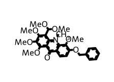 COc1c(OC)c(C(OC)OC)c2c(c1OC)c(=O)c1ccc(OCc3ccccc3)c(OC)c1n2C